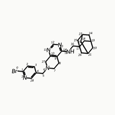 Brc1ccc(CN2CCc3c(ncnc3NCC34CC5CC(CC(C5)C3)C4)C2)cn1